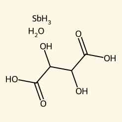 O.O=C(O)C(O)C(O)C(=O)O.[SbH3]